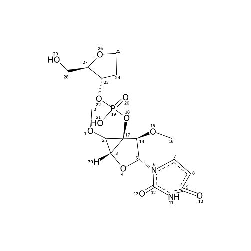 COC1[C@H]2O[C@@H](n3ccc(=O)[nH]c3=O)[C@H](OC)[C@@]12OP(=O)(O)O[C@H]1CCO[C@@H]1CO